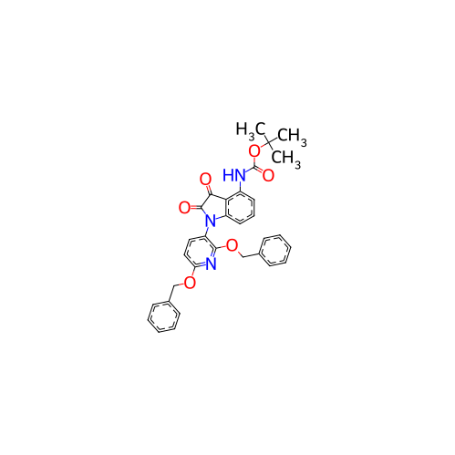 CC(C)(C)OC(=O)Nc1cccc2c1C(=O)C(=O)N2c1ccc(OCc2ccccc2)nc1OCc1ccccc1